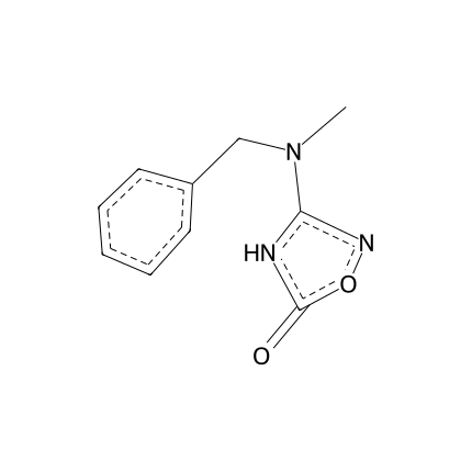 CN(Cc1ccccc1)c1noc(=O)[nH]1